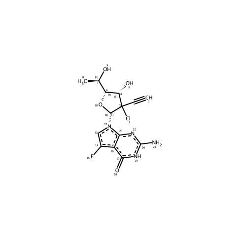 C#CC1(Cl)[C@@H](O)[C@@H]([C@@H](C)O)O[C@H]1n1cc(F)c2c(=O)[nH]c(N)nc21